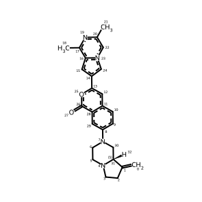 C=C1CCN2CCN(c3ccc4cc(-c5cc6c(C)nc(C)cn6c5)oc(=O)c4c3)C[C@H]12